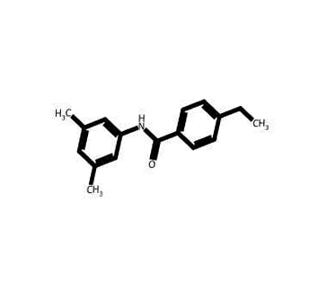 CCc1ccc(C(=O)Nc2cc(C)cc(C)c2)cc1